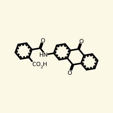 O=C(O)c1ccccc1C(=O)Nc1ccc2c(c1)C(=O)c1ccccc1C2=O